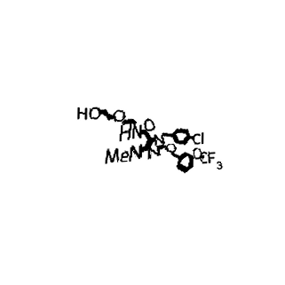 CNc1nc(OCc2cccc(OC(F)(F)F)c2)n(Cc2ccc(Cl)cc2)c1C(=O)NCCOCCO